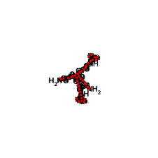 NCCOC(=O)CCSCC(=O)OCC(COC(=O)CSCCC(=O)OCCN)(COC(=O)CSCCC(=O)OCCNOCC1c2ccccc2-c2ccccc21)COC(=O)CSCCC(=O)OCCNOCC1c2ccccc2-c2ccccc21